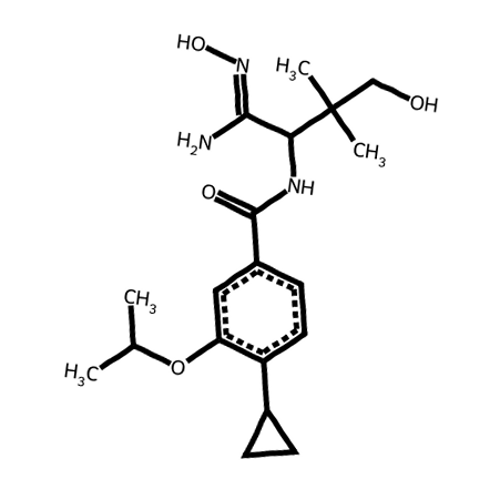 CC(C)Oc1cc(C(=O)NC(/C(N)=N/O)C(C)(C)CO)ccc1C1CC1